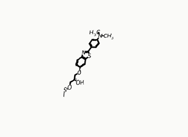 CN(C)c1ccc(-c2nc3ccc(OC[C@@H](O)COSI)cc3s2)cc1